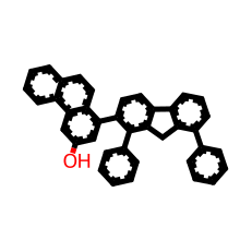 Oc1cc(-c2ccc3c(c2-c2ccccc2)Cc2c(-c4ccccc4)cccc2-3)c2ccc3ccccc3c2c1